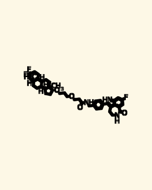 C[C@]12CCC(F)(F)C[C@@H]1CC[C@@H]1[C@@H]2CC[C@]2(C)[C@@H](OCCCOCCC(=O)NCc3ccc(-c4[nH]c5cc(F)cc6c5c4CCNC6=O)cc3)CC[C@@H]12